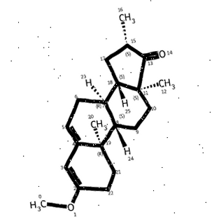 COC1=CC2=CC[C@@H]3[C@H](CC[C@]4(C)C(=O)[C@@H](C)C[C@@H]34)[C@@]2(C)CC1